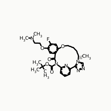 C[C@H]1CCCOc2cc(F)c(OCCN(C)C)cc2C(=O)N(C(=O)OC(C)(C)C)c2cccc(n2)-c2nncn21